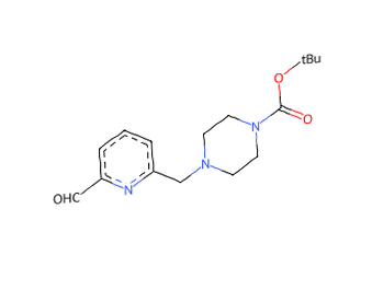 CC(C)(C)OC(=O)N1CCN(Cc2cccc(C=O)n2)CC1